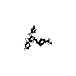 COC(=O)c1ccc(/C=C/c2nc(Nc3cc(C)n[nH]3)c(N)c(N3CCN(C)CC3)n2)cc1